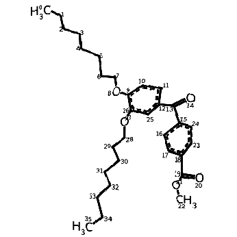 CCCCCCCCOc1ccc(C(=O)c2ccc(C(=O)OC)cc2)cc1OCCCCCCCC